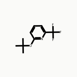 CC(C)(C)Oc1cccc(C(F)(F)F)n1